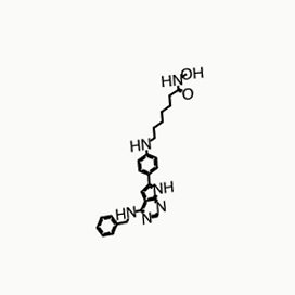 O=C(CCCCCCNc1ccc(-c2cc3c(NCc4ccccc4)ncnc3[nH]2)cc1)NO